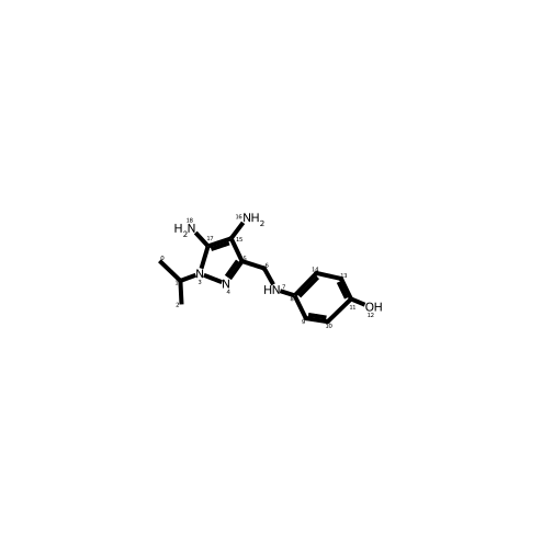 CC(C)n1nc(CNc2ccc(O)cc2)c(N)c1N